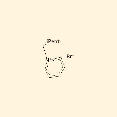 CCCC(C)C[n+]1ccccc1.[Br-]